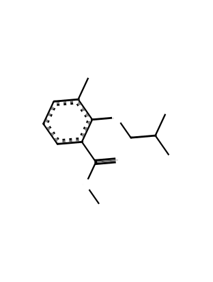 COC(=O)c1cccc(C)c1OCC(C)C